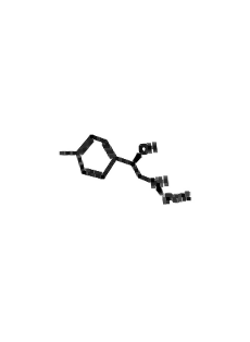 CCC[C@H](C)NC[C@H](O)c1ccc(C)cc1